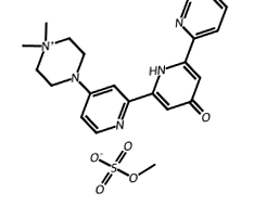 COS(=O)(=O)[O-].C[N+]1(C)CCN(c2ccnc(-c3cc(=O)cc(-c4ccccn4)[nH]3)c2)CC1